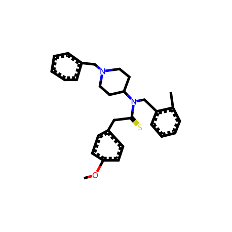 COc1ccc(CC(=S)N(Cc2ccccc2C)C2CCN(Cc3ccccc3)CC2)cc1